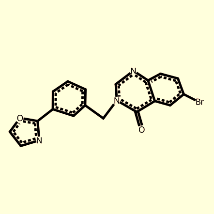 O=c1c2cc(Br)ccc2ncn1Cc1cccc(-c2ncco2)c1